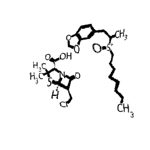 CC1(C)S[C@@H]2[C@H](CCl)C(=O)N2[C@H]1C(=O)O.CCCCCCCC[S+]([O-])C(C)Cc1ccc2c(c1)OCO2